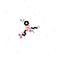 Cc1ccc(OP(=O)(OCc2ccc([N+](=O)[O-])o2)N(C)CCCCCl)cc1